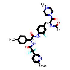 CCC(=O)N[C@H](Cc1ccc(NC(=O)[C@@H](NC(=O)C(F)(F)c2ccc(OC)nc2)C2CCC(C)CC2)c(F)c1)C(=O)N1CCN(C)CC1